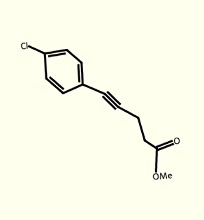 COC(=O)CCC#Cc1ccc(Cl)cc1